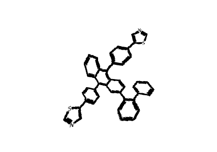 c1ccc(-c2ccccc2-c2ccc3c(-c4ccc(-c5cncs5)cc4)c4ccccc4c(-c4ccc(-c5cncs5)cc4)c3c2)cc1